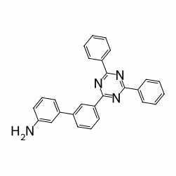 Nc1cccc(-c2cccc(-c3nc(-c4ccccc4)nc(-c4ccccc4)n3)c2)c1